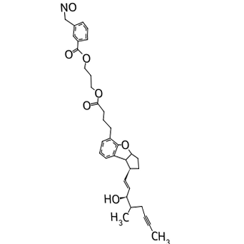 CC#CCC(C)[C@@H](O)/C=C/[C@@H]1CCC2Oc3c(CCCC(=O)OCCCOC(=O)c4cccc(CN=O)c4)cccc3C21